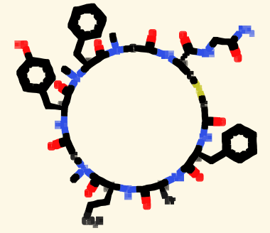 CC(C)[C@@H]1NC(=O)[C@H](Cc2ccccc2)NC(=O)CSC[C@@H](C(=O)NCC(N)=O)NC(=O)CN(C)C(=O)[C@H](Cc2ccccc2)N(C)C(=O)[C@H](Cc2ccc(O)cc2)NC(=O)CN(C)C(=O)[C@H](CCC(=O)O)NC1=O